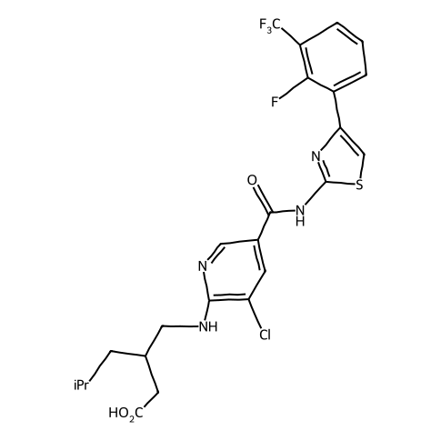 CC(C)CC(CNc1ncc(C(=O)Nc2nc(-c3cccc(C(F)(F)F)c3F)cs2)cc1Cl)CC(=O)O